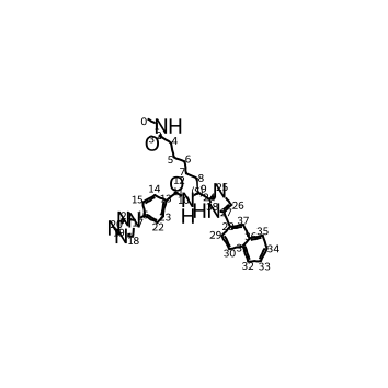 CNC(=O)CCCCC[C@H](NC(=O)c1ccc(-n2cnnn2)cc1)c1ncc(-c2ccc3ccccc3c2)[nH]1